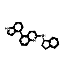 c1ccc2c(c1)CC[C@H]2Nc1ccc2c(-c3cccc4[nH]ccc34)cccc2n1